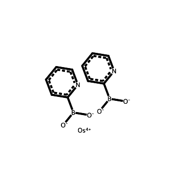 [O-]B([O-])c1ccccn1.[O-]B([O-])c1ccccn1.[Os+4]